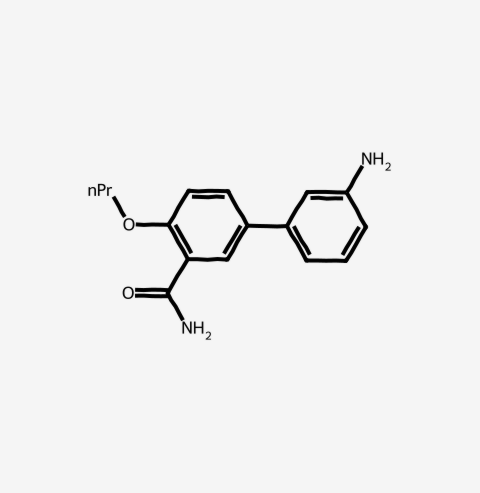 CCCOc1ccc(-c2cccc(N)c2)cc1C(N)=O